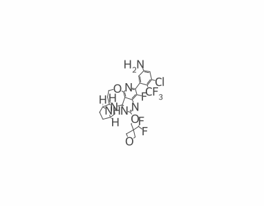 Nc1cc(Cl)c(C(F)(F)F)c(-c2nc3c4c(nc(OCC5(C(F)F)COC5)nc4c2F)N2C[C@H]4CC[C@H](N4)[C@H]2CCO3)c1